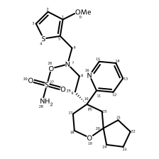 COc1ccsc1CN(CC[C@@]1(c2ccccn2)CCOC2(CCCC2)C1)OS(N)(=O)=O